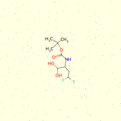 CC(C)(C)OC(=O)NC(CC(F)F)C(O)O